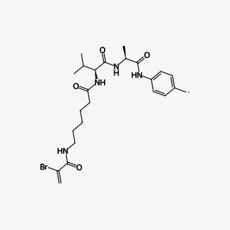 [CH2]c1ccc(NC(=O)[C@H](C)NC(=O)[C@@H](NC(=O)CCCCCNC(=O)C(=C)Br)C(C)C)cc1